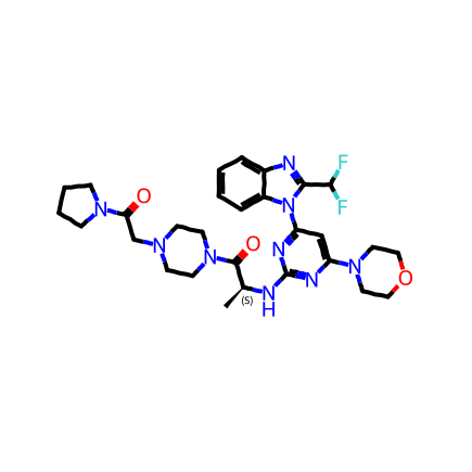 C[C@H](Nc1nc(N2CCOCC2)cc(-n2c(C(F)F)nc3ccccc32)n1)C(=O)N1CCN(CC(=O)N2CCCC2)CC1